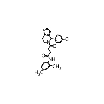 Cc1ccc(NC(=O)CCC(=O)N2CCc3sccc3C2c2ccc(Cl)cc2)c(C)c1